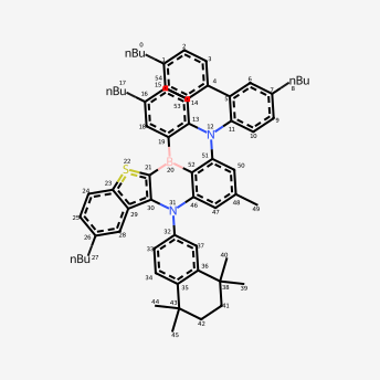 CCCCc1ccc(-c2cc(CCCC)ccc2N2c3ccc(CCCC)cc3B3c4sc5ccc(CCCC)cc5c4N(c4ccc5c(c4)C(C)(C)CCC5(C)C)c4cc(C)cc2c43)cc1